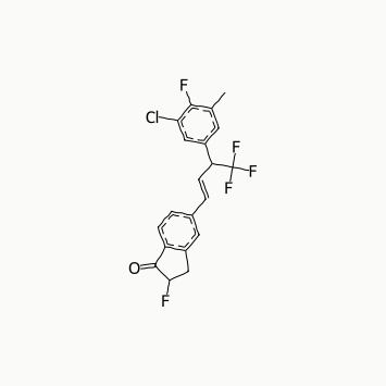 Cc1cc(C(/C=C/c2ccc3c(c2)CC(F)C3=O)C(F)(F)F)cc(Cl)c1F